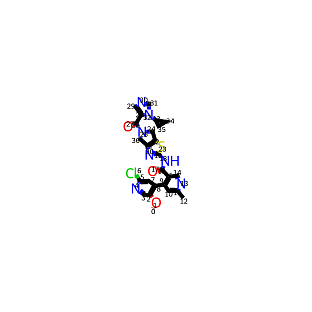 COc1cnc(Cl)cc1-c1cc(C)ncc1C(=O)Nc1nc2c(s1)CN(C(=O)c1cncn1C1CC1)C2